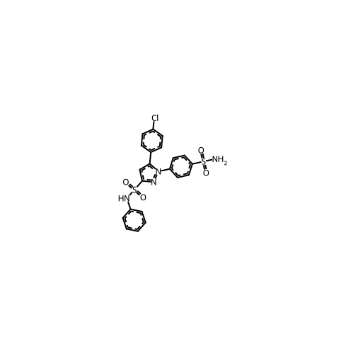 NS(=O)(=O)c1ccc(-n2nc(S(=O)(=O)Nc3ccccc3)cc2-c2ccc(Cl)cc2)cc1